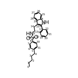 CCCCCc1ccc(S(=O)(=O)NCCc2c(-c3ccccc3)[nH]c3ccccc23)cc1